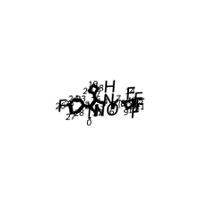 Cn1nc(NC(=O)C[C@H]2CC(F)(F)C2(F)F)c(C2CCC2)c1-c1ccc(F)cc1